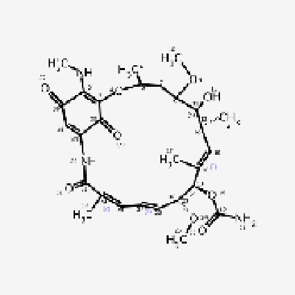 CNC1=C2CC(C)CC(OC)[C@@H](O)[C@H](C)/C=C(\C)[C@@H](OC(N)=O)[C@H](OC)/C=C/C=C(/C)C(=O)NC(=CC1=O)C2=O